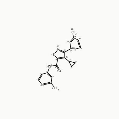 O=C(Nc1ccnc(C(F)(F)F)c1)c1snc(-c2cccc(C(F)(F)F)c2)c1C1CC1